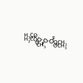 C=C(C)C(=O)Oc1ccc(-c2ccc(-c3ccc(OC(=O)C(=C)C)c(OC)c3)c(F)c2)cc1F